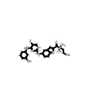 C[N+](C)(CCO)C(=O)c1cc2cc(Nc3ncc(F)c(Nc4cccc(O)c4)n3)ccc2o1